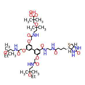 CCOC(C)(C)CCNC(=O)COc1cc(OCC(=O)NCCC(C)(C)OCC(C)(C)C(=O)OO)cc(-c2cc(OCC(=O)NCCC(C)(C)OCC)cc(C(=O)NCCNC(=O)CCCC[C@@H]3SC[C@@H]4NC(=O)N[C@@H]43)c2)c1